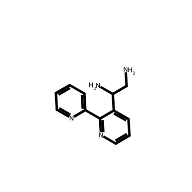 NCC(N)c1cccnc1-c1ccccn1